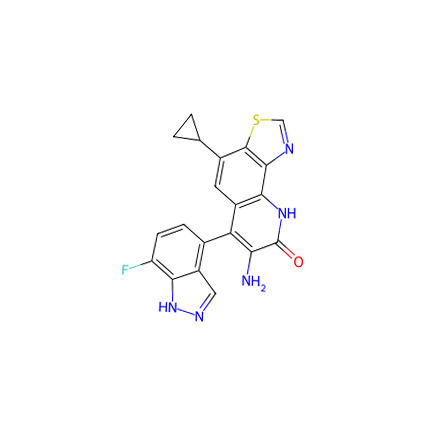 Nc1c(-c2ccc(F)c3[nH]ncc23)c2cc(C3CC3)c3scnc3c2[nH]c1=O